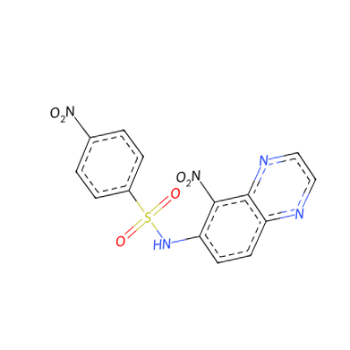 O=[N+]([O-])c1ccc(S(=O)(=O)Nc2ccc3nccnc3c2[N+](=O)[O-])cc1